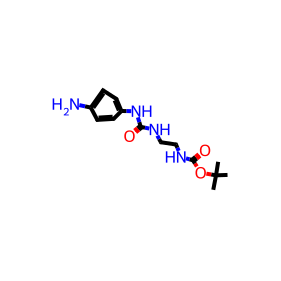 CC(C)(C)OC(=O)NCCNC(=O)Nc1ccc(N)cc1